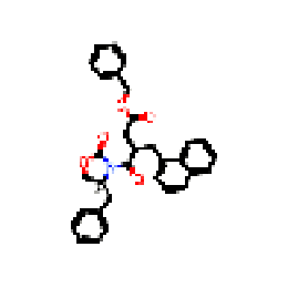 O=C(CC(Cc1cccc2ccccc12)C(=O)N1C(=O)OC[C@@H]1Cc1ccccc1)OCc1ccccc1